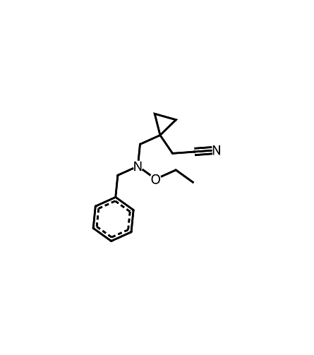 CCON(Cc1ccccc1)CC1(CC#N)CC1